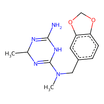 CC1N=C(N)NC(N(C)Cc2ccc3c(c2)OCO3)=N1